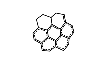 C1=c2ccc3ccc4ccc5ccc6c7c(c2c3c4c57)C(C1)CC6